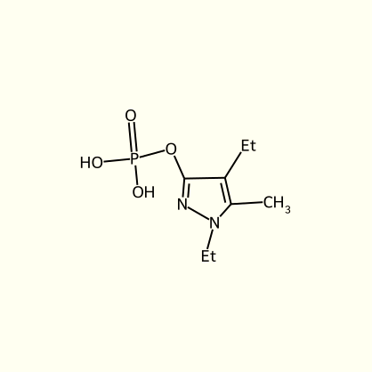 CCc1c(OP(=O)(O)O)nn(CC)c1C